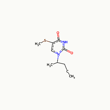 CCCC(C)n1cc(SC)c(=O)[nH]c1=O